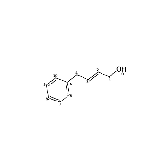 OCC=CCc1cc[c]cc1